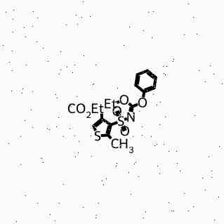 CCOC(=O)c1csc(C)c1S(=O)(=O)N=C(OCC)Oc1ccccc1